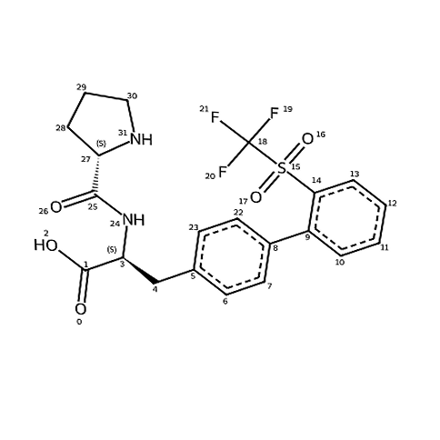 O=C(O)[C@H](Cc1ccc(-c2ccccc2S(=O)(=O)C(F)(F)F)cc1)NC(=O)[C@@H]1CCCN1